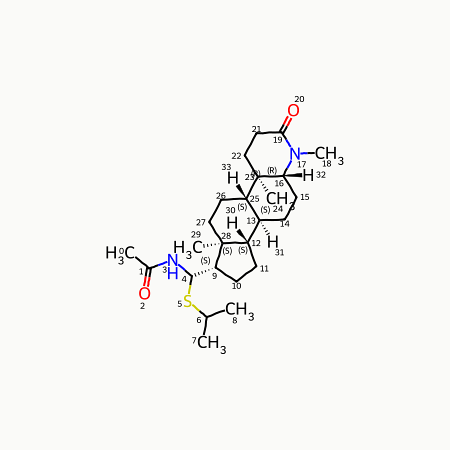 CC(=O)NC(SC(C)C)[C@H]1CC[C@H]2[C@@H]3CC[C@H]4N(C)C(=O)CC[C@]4(C)[C@H]3CC[C@]12C